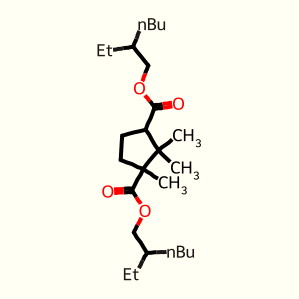 CCCCC(CC)COC(=O)C1CCC(C)(C(=O)OCC(CC)CCCC)C1(C)C